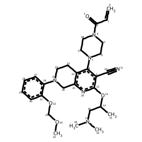 C=CC(=O)N1CCN(c2c(C#N)c(OC(C)CN(C)C)nc3c2CCN(c2ccccc2OCOC)C3)CC1